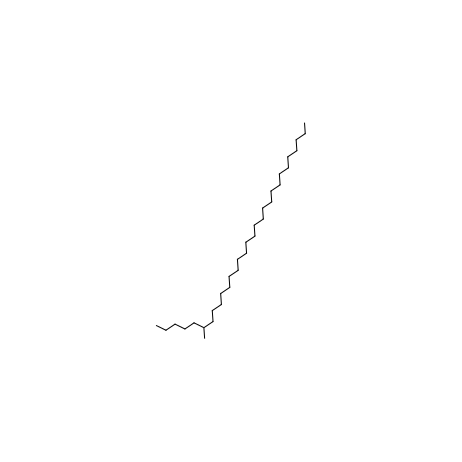 CCCCCCCCCCCCCCCCCCCCCCCCC(C)CCCCC